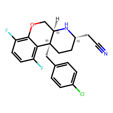 N#CC[C@@H]1CC[C@@]2(Cc3ccc(Cl)cc3)c3c(F)ccc(F)c3OC[C@H]2N1